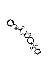 O=C(NCc1ccccc1)OC1=NOC2(CCN(S(=O)(=O)c3cccs3)CC2)C1